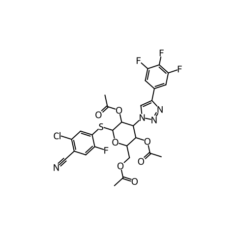 CC(=O)OCC1OC(Sc2cc(Cl)c(C#N)cc2F)C(OC(C)=O)C(n2cc(-c3cc(F)c(F)c(F)c3)nn2)C1OC(C)=O